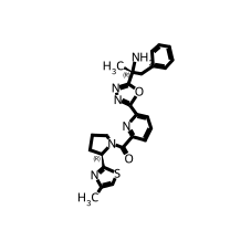 Cc1csc([C@H]2CCCN2C(=O)c2cccc(-c3nnc([C@](C)(N)Cc4ccccc4)o3)n2)n1